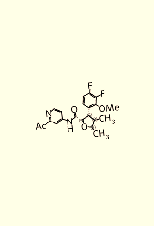 COc1c([C@@H]2[C@@H](C)[C@@H](C)O[C@@H]2C(=O)Nc2ccnc(C(C)=O)c2)ccc(F)c1F